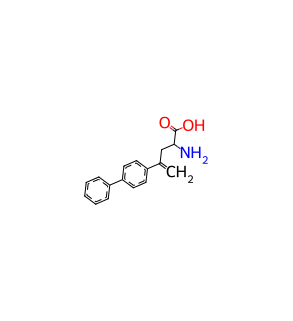 C=C(CC(N)C(=O)O)c1ccc(-c2ccccc2)cc1